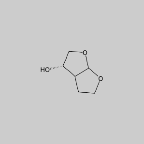 O[C@@H]1COC2OCCC21